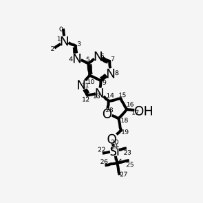 CN(C)/C=N/c1ncnc2c1ncn2C1CC(O)C(CO[Si](C)(C)C(C)(C)C)O1